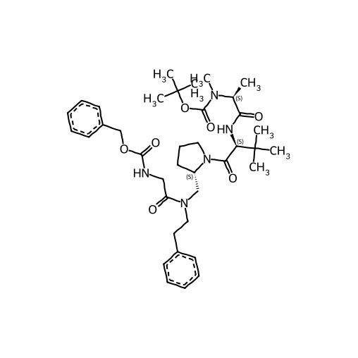 C[C@@H](C(=O)N[C@H](C(=O)N1CCC[C@H]1CN(CCc1ccccc1)C(=O)CNC(=O)OCc1ccccc1)C(C)(C)C)N(C)C(=O)OC(C)(C)C